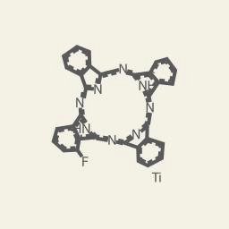 Fc1cccc2c3nc4nc(nc5[nH]c(nc6nc(nc([nH]3)c12)-c1ccccc1-6)c1ccccc51)-c1ccccc1-4.[Ti]